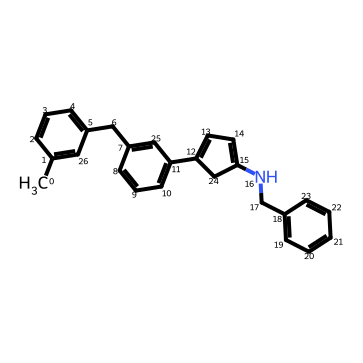 Cc1cccc(Cc2cccc(C3=CC=C(NCc4ccccc4)C3)c2)c1